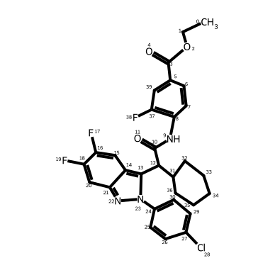 CCOC(=O)c1ccc(NC(=O)C(c2c3cc(F)c(F)cc3nn2-c2ccc(Cl)cc2)C2CCCCC2)c(F)c1